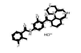 Cc1c(I)cccc1C(=O)Nc1ccc(C(=O)C2CC=CC3=CNC=C4CSCCN4C32)c(Cl)c1.Cl